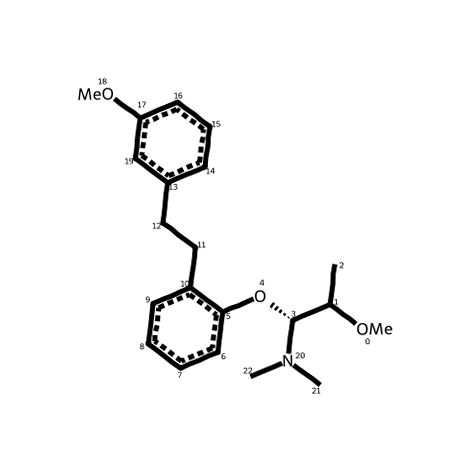 [CH2]OC(C)[C@@H](Oc1ccccc1CCc1cccc(OC)c1)N(C)C